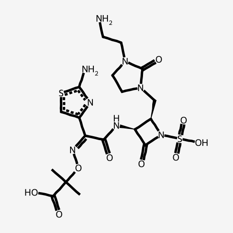 CC(C)(O/N=C(\C(=O)N[C@@H]1C(=O)N(S(=O)(=O)O)[C@@H]1CN1CCN(CCN)C1=O)c1csc(N)n1)C(=O)O